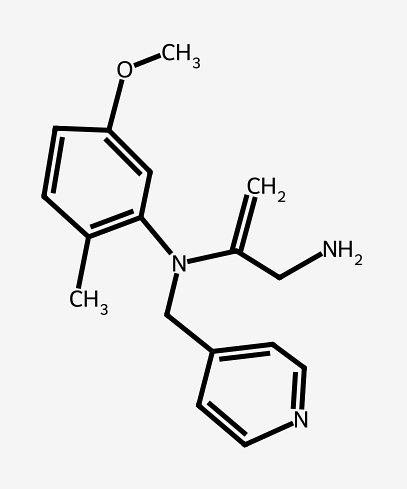 C=C(CN)N(Cc1ccncc1)c1cc(OC)ccc1C